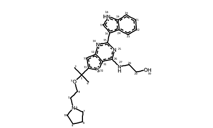 CC(C)(OCCN1CCCC1)c1cc2nc(-c3c[nH]c4ccccc34)nc(NCCO)c2s1